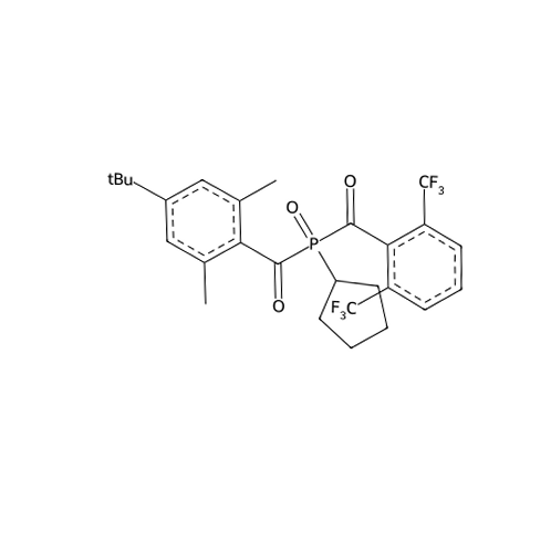 Cc1cc(C(C)(C)C)cc(C)c1C(=O)P(=O)(C(=O)c1c(C(F)(F)F)cccc1C(F)(F)F)C1CCCC1